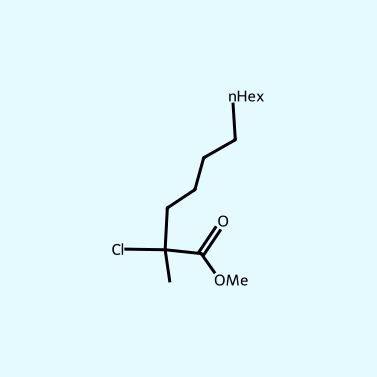 CCCCCCCCCCC(C)(Cl)C(=O)OC